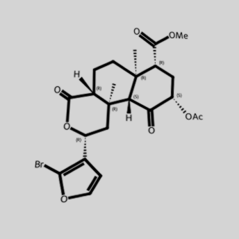 COC(=O)[C@@H]1C[C@H](OC(C)=O)C(=O)[C@H]2[C@@]1(C)CC[C@H]1C(=O)O[C@@H](c3ccoc3Br)C[C@]21C